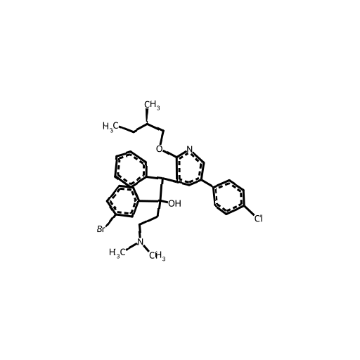 CC[C@@H](C)COc1ncc(-c2ccc(Cl)cc2)cc1C(c1ccccc1)C(O)(CCN(C)C)c1cccc(Br)c1